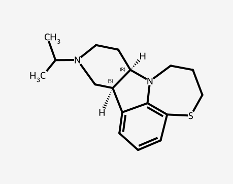 CC(C)N1CC[C@@H]2[C@H](C1)c1cccc3c1N2CCCS3